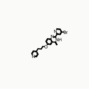 C=C1NC(c2cc(Br)ccn2)=Nc2ccc(OCCCc3ccncc3)cc21